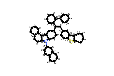 C(=C(/c1ccc2c(c1)c1c3ccccc3ccc1n2-c1ccc2ccccc2c1)c1ccccc1-c1ccccc1)/c1ccc2sc3ccccc3c2c1